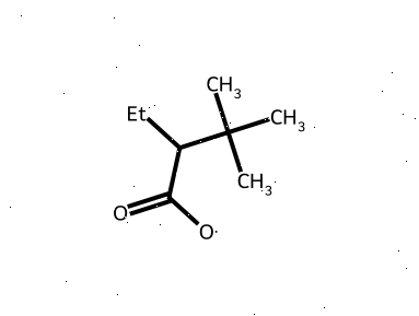 CCC(C([O])=O)C(C)(C)C